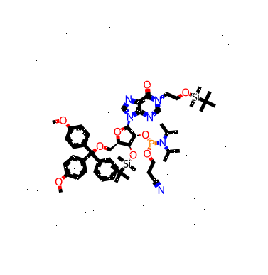 COc1ccc(C(OC[C@H]2O[C@@H](n3cnc4c(=O)n(CCO[Si](C)(C)C(C)(C)C)cnc43)[C@H](OP(OCCC#N)N(C(C)C)C(C)C)[C@@H]2O[Si](C)(C)C(C)(C)C)(c2ccccc2)c2ccc(OC)cc2)cc1